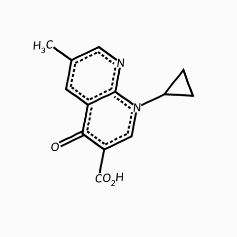 Cc1cnc2c(c1)c(=O)c(C(=O)O)cn2C1CC1